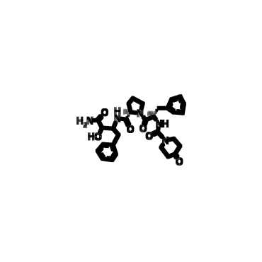 NC(=O)C(O)C(Cc1ccccc1)NC(=O)[C@@H]1CCCN1C(=O)[C@H](Cc1ccccc1)NC(=O)N1CCC(=O)CC1